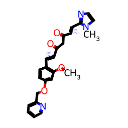 COc1cc(OCc2ccccn2)ccc1/C=C/C(=O)CC(=O)/C=C/c1nccn1C